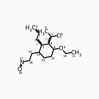 C=C/C=C1\C(=C(/C)Cl)C(OCC)CCC1CCN=O